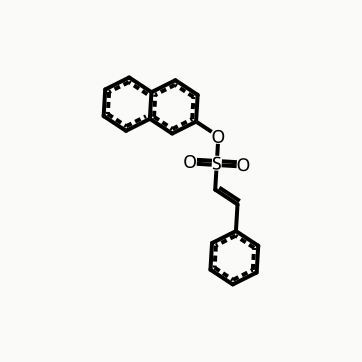 O=S(=O)(/C=C/c1ccccc1)Oc1ccc2ccccc2c1